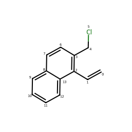 C=Cc1c(CCl)ccc2ccccc12